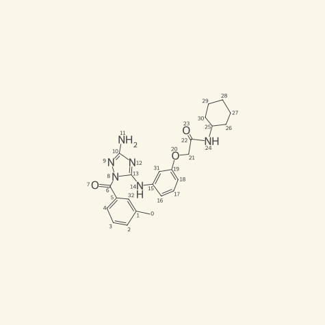 Cc1cccc(C(=O)n2nc(N)nc2Nc2cccc(OCC(=O)NC3CCCCC3)c2)c1